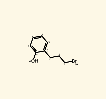 Oc1ccccc1CCCBr